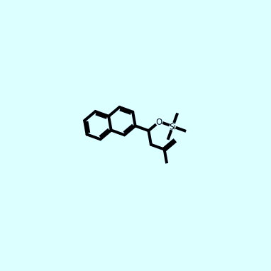 C=C(C)CC(O[Si](C)(C)C)c1ccc2ccccc2c1